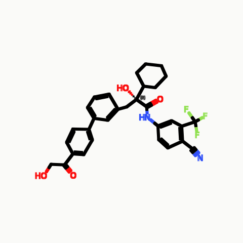 N#Cc1ccc(NC(=O)[C@@](O)(Cc2cccc(-c3ccc(C(=O)CO)cc3)c2)C2CCCCC2)cc1C(F)(F)F